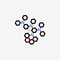 c1ccc(-c2ccccc2N2c3cc(N(c4ccccc4)c4ccccc4)cc4c3B(c3ccc(N(c5ccccc5)c5ccccc5)cc3N4c3ccccc3)c3cccc(-c4ccccc4)c32)cc1